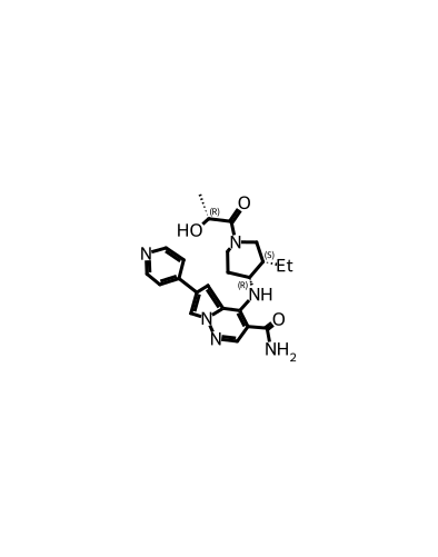 CC[C@H]1CN(C(=O)[C@@H](C)O)CC[C@H]1Nc1c(C(N)=O)cnn2cc(-c3ccncc3)cc12